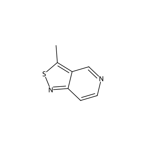 Cc1snc2ccncc12